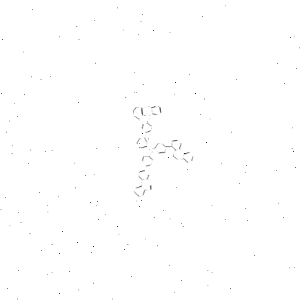 c1cc(-c2ccc3c(c2)c2cccc4c2n3-c2ccccc2O4)cc(N(c2ccc(-c3ccc4c(ccc5ccccc54)c3)cc2)c2ccc(-c3cccc4c3ccc3ccccc34)cc2)c1